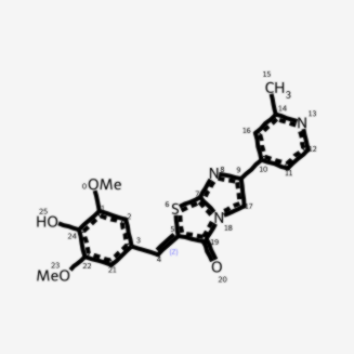 COc1cc(/C=c2\sc3nc(-c4ccnc(C)c4)cn3c2=O)cc(OC)c1O